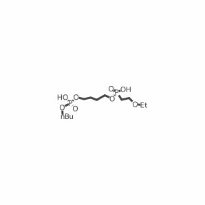 CCCCOP(=O)(O)OCCCCOP(=O)(O)CCOCC